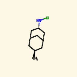 C[C@H]1CC2CC(C1)C[C@@H](NCl)C2